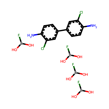 Nc1ccc(-c2ccc(N)c(Cl)c2)cc1Cl.OB(O)F.OB(O)F.OB(O)F.OB(O)F